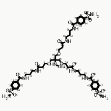 CC(C)(C)NC(COCCC(=O)NCCCNC(=O)c1ccc(S(N)(=O)=O)cc1)(COCCC(=O)NCCCNC(=O)c1ccc(S(N)(=O)=O)cc1)COCCC(=O)NCCCNC(=O)c1ccc(S(N)(=O)=O)cc1